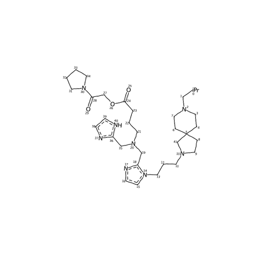 CC(C)CN1CCC2(CC1)CCN(CCCn1ccnc1CN(CCCC(=O)OCC(=O)N1CCCC1)Cc1ncc[nH]1)C2